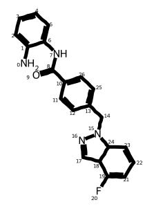 Nc1ccccc1NC(=O)c1ccc(CN2N=CC3C(F)=CC=CC32)cc1